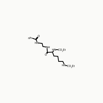 CCCC(=O)NCCNC(=O)C(CCCCNC(=O)OCC)NC(=O)OCC